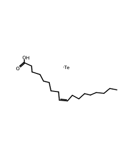 CCCCCCCC/C=C\CCCCCCCC(=O)O.[Te]